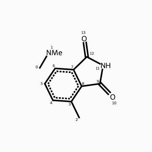 CNC.Cc1cccc2c1C(=O)NC2=O